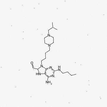 CCCCNc1nc(N)c2c(n1)N(CCCCN1CCN(CC(C)C)CC1)C(C=O)N2